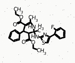 CCOC(=O)C1=C(C)NC(C)(Nc2nc(-c3ccccc3F)cs2)C(C(=O)OCC)C1c1ccccc1